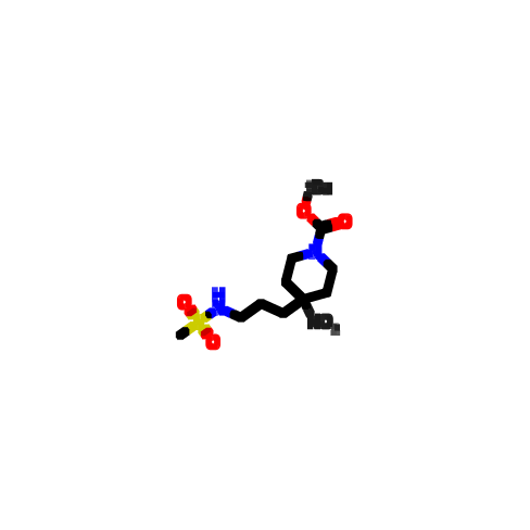 CC(C)(C)OC(=O)N1CCC(CCCNS(C)(=O)=O)([N+](=O)[O-])CC1